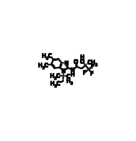 CCC(C)(C)n1c(NC(=O)C[C@@](C)(O)C(F)(F)F)nc2cc(C)c(C)cc21